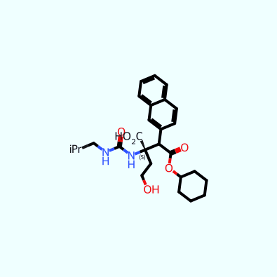 CC(C)CNC(=O)N[C@](CCO)(C(=O)O)C(C(=O)OC1CCCCC1)c1ccc2ccccc2c1